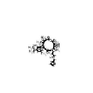 CC[C@H]1OC(=O)[C@H](C)[C@@H](O)[C@H](C)[C@@H](O[C@@H]2O[C@H](C)C[C@H](N(C)C)[C@H]2O)C(C)(O)C[C@H](C)CN(CCCNCc2nccs2)[C@H](C)[C@@H](O)[C@]1(C)O